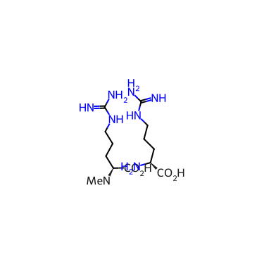 CN[C@@H](CCCNC(=N)N)C(=O)O.N=C(N)NCCC[C@H](N)C(=O)O